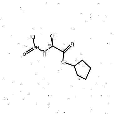 C[C@H](N[PH](=O)Cl)C(=O)OC1CCCC1